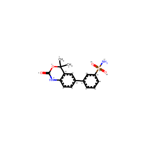 CC1(C)OC(=O)Nc2ccc(-c3cccc(S(N)(=O)=O)c3)cc21